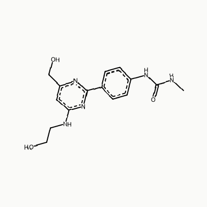 CNC(=O)Nc1ccc(-c2nc(CO)cc(NCCO)n2)cc1